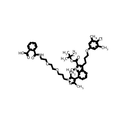 Cc1cc(OCCCc2c(C(=O)OC(C)(C)C)n(C)c3c(-c4c(C)nn(CCCOCCOCCNC(=O)c5ccccc5C(=O)O)c4C)cccc23)cc(C)c1Cl